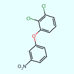 O=[N+]([O-])c1[c]c(Oc2cccc(Cl)c2Cl)ccc1